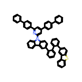 c1ccc(-c2ccc(-c3cc(-c4ccc(-c5ccccc5)cc4)nc(-n4c5ccccc5c5cc(-c6ccccc6-c6ccccc6-c6ccc7sc8ccccc8c7c6)ccc54)c3)cc2)cc1